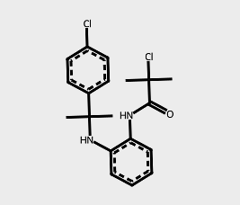 CC(C)(Cl)C(=O)Nc1ccccc1NC(C)(C)c1ccc(Cl)cc1